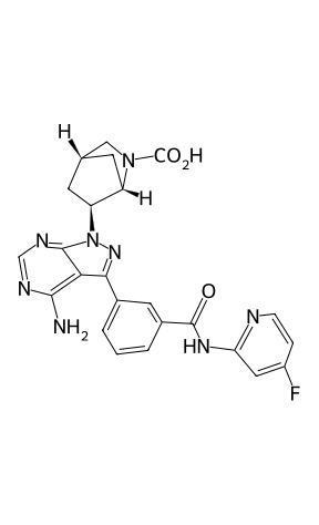 Nc1ncnc2c1c(-c1cccc(C(=O)Nc3cc(F)ccn3)c1)nn2[C@H]1C[C@H]2C[C@@H]1N(C(=O)O)C2